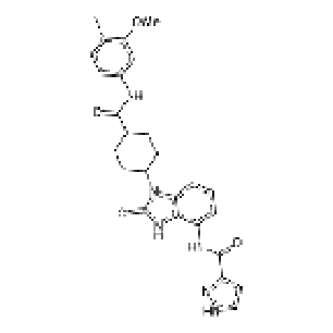 COc1cc(NC(=O)C2CCC(n3c(=O)[nH]c4c(NC(=O)c5cc[nH]n5)cccc43)CC2)ccc1C